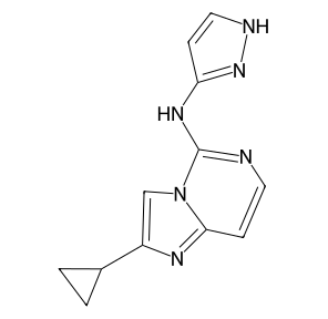 c1cc2nc(C3CC3)cn2c(Nc2cc[nH]n2)n1